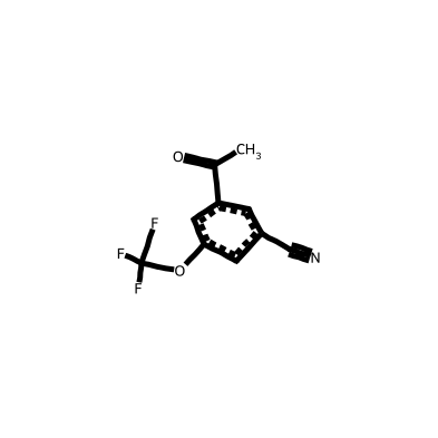 CC(=O)c1cc(C#N)cc(OC(F)(F)F)c1